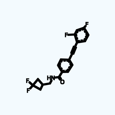 O=C(NCC1CC(F)(F)C1)c1ccc(C#Cc2ccc(F)cc2F)cc1